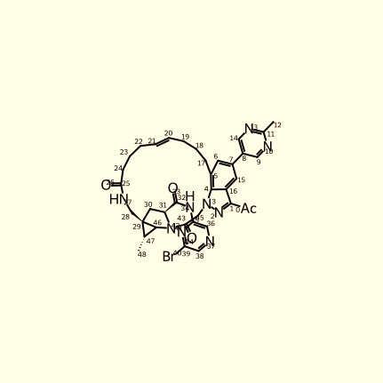 CC(=O)c1nn2c3c(cc(-c4cnc(C)nc4)cc13)CCC/C=C/CCCC(=O)NC[C@@]13C[C@@H](C(=O)Nc4cncc(Br)n4)N(C(=O)C2)C1[C@@H]3C